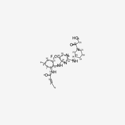 CC#CC(=O)Nc1cc(C)ccc1Nc1nc(N[C@H]2CCCN(C(=O)CO)C2)ncc1C(F)(F)F